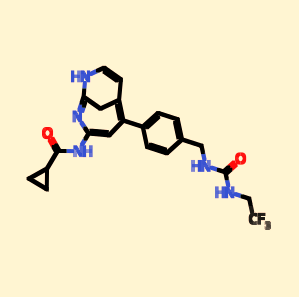 O=C(NCc1ccc(C2=C3C=CNC(=NC(NC(=O)C4CC4)=C2)C3)cc1)NCC(F)(F)F